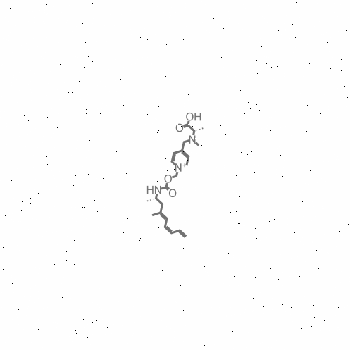 C=C/C=C\C=C(/C)C[C@H](C)NC(=O)OC[n+]1ccc(CN(C)[C@@H](C)C(=O)O)cc1